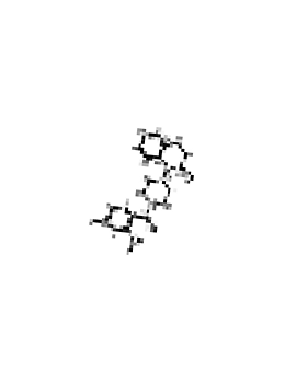 COc1cc(C)ccc1C(=S)N1CCC(N2C(=O)CCc3ccccc32)CC1